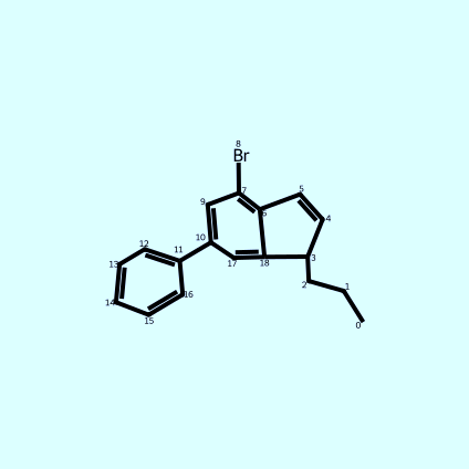 CCCC1C=Cc2c(Br)cc(-c3ccccc3)cc21